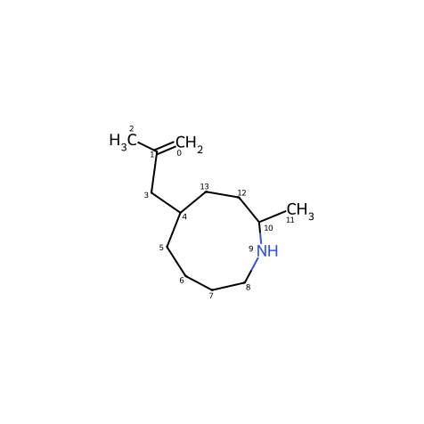 C=C(C)CC1CCCCNC(C)CC1